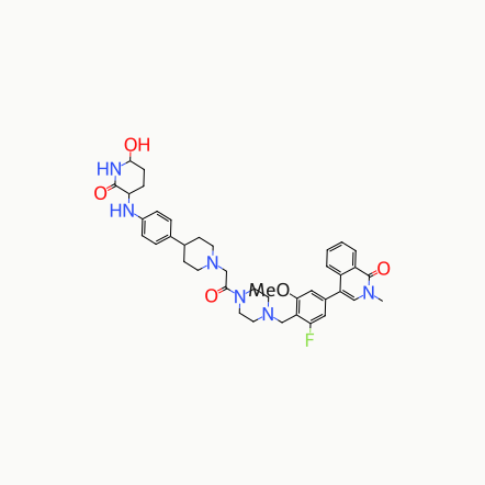 COc1cc(-c2cn(C)c(=O)c3ccccc23)cc(F)c1CN1CCN(C(=O)CN2CCC(c3ccc(NC4CCC(O)NC4=O)cc3)CC2)CC1